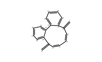 C=c1ccccc(=C)c2ccccc2c2ccccc12